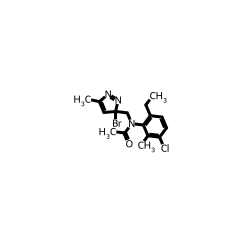 CCc1ccc(Cl)c(C)c1N(CC1(Br)C=C(C)N=N1)C(C)=O